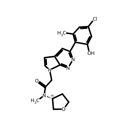 Cc1cc(Cl)cc(O)c1-c1cc2ccn(CC(=O)N(C)[C@@H]3CCOC3)c2nn1